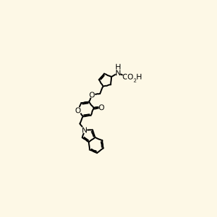 O=C(O)NC1C=CC(COc2coc(Cn3cc4ccccc4c3)cc2=O)C1